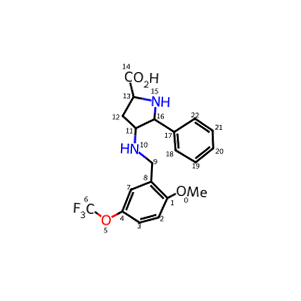 COc1ccc(OC(F)(F)F)cc1CNC1CC(C(=O)O)NC1c1ccccc1